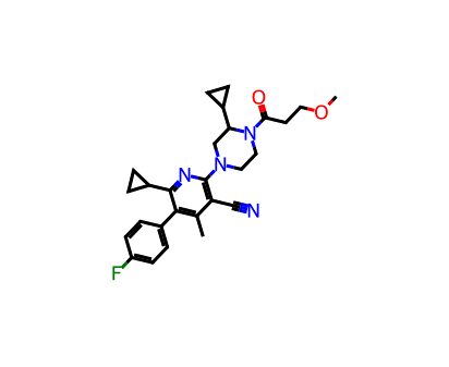 COCCC(=O)N1CCN(c2nc(C3CC3)c(-c3ccc(F)cc3)c(C)c2C#N)CC1C1CC1